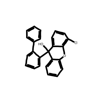 OC1(c2ccccc2-c2ccccc2)c2ccccc2Oc2c(Cl)cccc21